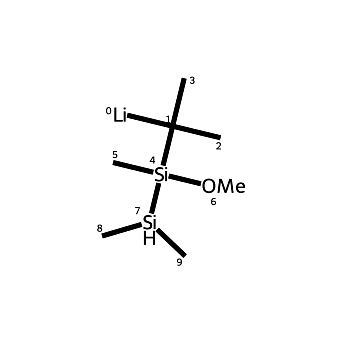 [Li][C](C)(C)[Si](C)(OC)[SiH](C)C